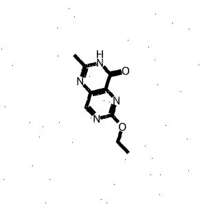 CCOc1ncc2nc(C)[nH]c(=O)c2n1